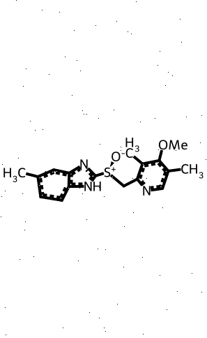 COc1c(C)cnc(C[S@+]([O-])c2nc3cc(C)ccc3[nH]2)c1C